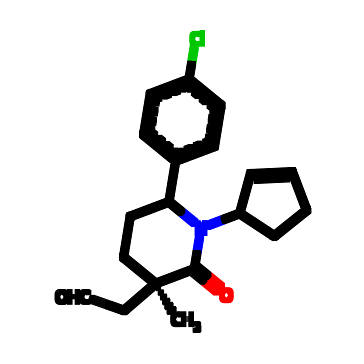 C[C@]1(CC=O)CCC(c2ccc(Cl)cc2)N(C2C=CCC2)C1=O